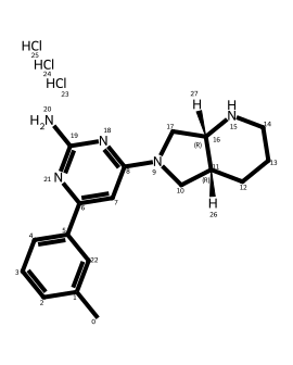 Cc1cccc(-c2cc(N3C[C@H]4CCCN[C@H]4C3)nc(N)n2)c1.Cl.Cl.Cl